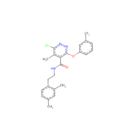 Cc1ccc(CCNC(=O)c2c(Oc3cccc(C(F)(F)F)c3)nnc(Cl)c2C)c(C)c1